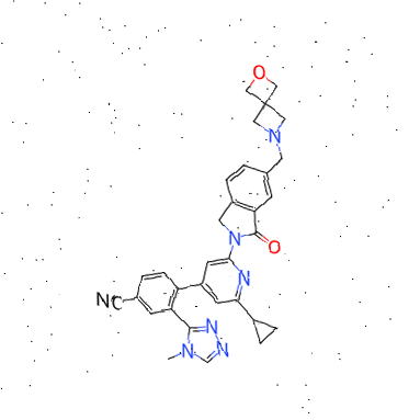 Cn1cnnc1-c1cc(C#N)ccc1-c1cc(C2CC2)nc(N2Cc3ccc(CN4CC5(COC5)C4)cc3C2=O)c1